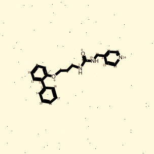 O=C(NCCCOc1ccccc1-c1ccccc1)NCc1ccncc1